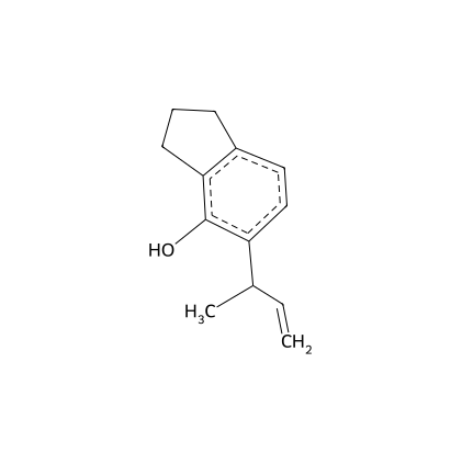 C=CC(C)c1ccc2c(c1O)CCC2